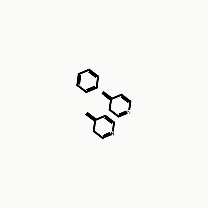 C=C1C=CN=CC1.C=C1C=CN=CC1.c1ccccc1